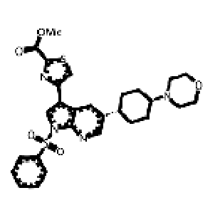 COC(=O)c1nc(-c2cn(S(=O)(=O)c3ccccc3)c3ncc([C@H]4CC[C@H](N5CCOCC5)CC4)cc23)cs1